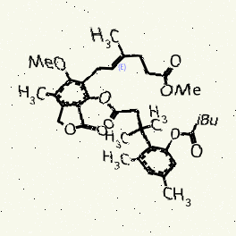 CCC(C)C(=O)Oc1cc(C)cc(C)c1C(C)(C)CC(=O)Oc1c(C/C=C(\C)CCC(=O)OC)c(OC)c(C)c2c1C(=O)OC2